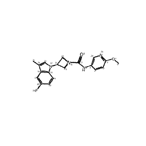 COc1ccc(NC(=O)N2CC(n3cc(C)c4cc(F)ccc43)C2)cn1